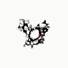 CC[C@H]1OC(=O)[C@H](C)[C@@H](O[C@H]2C[C@@](C)(OC)[C@@H](O)[C@H](C)O2)[C@H](C)[C@@H](O[C@@H]2O[C@H](C)C[C@H](N(C)CCc3cn([C@H](CF)Cc4ccc(S(=O)(=O)CC5CC5)cc4)nn3)[C@H]2O)[C@](C)(O)C[C@@H](C)CN(C)[C@H](C)[C@@H](O)[C@]1(C)O